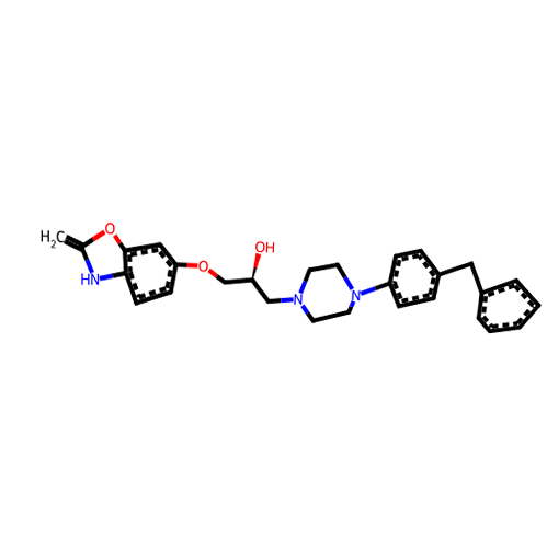 C=C1Nc2ccc(OC[C@@H](O)CN3CCN(c4ccc(Cc5ccccc5)cc4)CC3)cc2O1